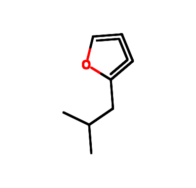 CC(C)CC1=C=C=CO1